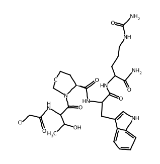 CC(O)C(NC(=O)CCl)C(=O)N1CCCC[C@H]1C(=O)NC(Cc1c[nH]c2ccccc12)C(=O)NC(CCCNC(N)=O)C(N)=O